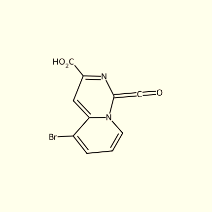 O=C=C1N=C(C(=O)O)C=C2C(Br)=CC=CN12